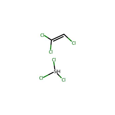 ClC=C(Cl)Cl.Cl[SiH](Cl)Cl